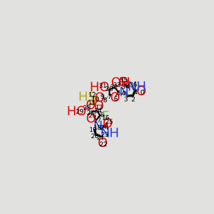 O=c1ccn([C@@H]2O[C@H](CO[P@](=O)(S)OC3C(F)[C@H](n4ccc(=O)[nH]c4=O)O[C@@H]3CO)C(O)C2O)c(=O)[nH]1